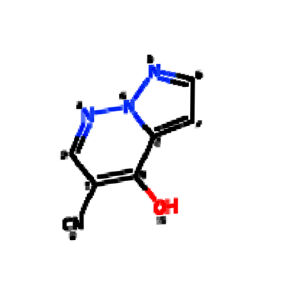 [C-]#[N+]c1cnn2nccc2c1O